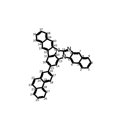 c1ccc2cc3c(cc2c1)nc1n3c2cc(-c3ccc4c(ccc5ccccc54)c3)cc3c4cc5ccccc5cc4n1c32